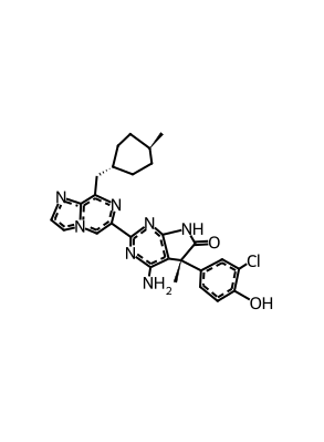 C[C@]1(c2ccc(O)c(Cl)c2)C(=O)Nc2nc(-c3cn4ccnc4c(C[C@H]4CC[C@H](C)CC4)n3)nc(N)c21